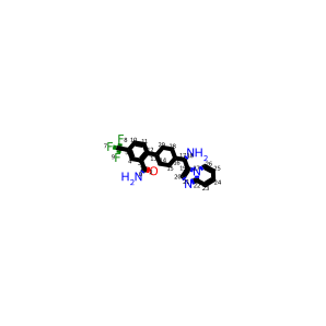 NC(=O)c1cc(C(F)(F)F)ccc1C1CCC(C(N)c2cnc3ccccn23)CC1